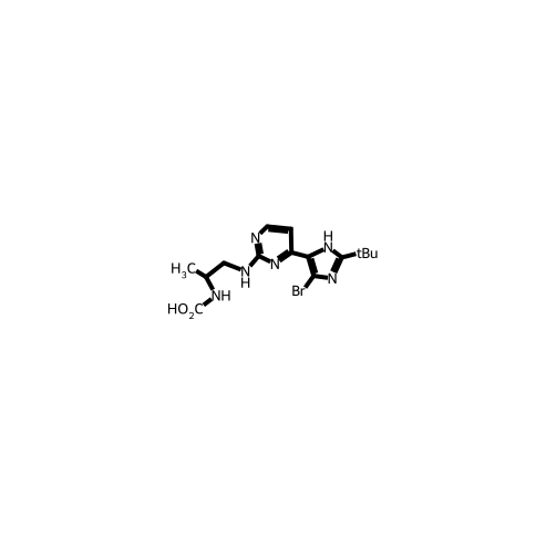 CC(CNc1nccc(-c2[nH]c(C(C)(C)C)nc2Br)n1)NC(=O)O